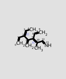 C=C/C(=C/C)C(=C)/C(C=C)=C(\C)C=N